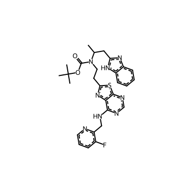 CC(Cc1nc2ccccc2[nH]1)N(CCc1nc2c(NCc3ncccc3F)ncnc2s1)C(=O)OC(C)(C)C